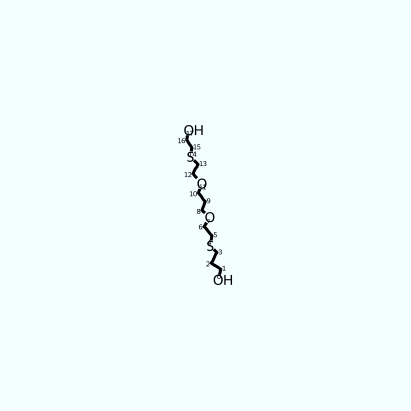 OCCCSCCOCCCOCCSCCO